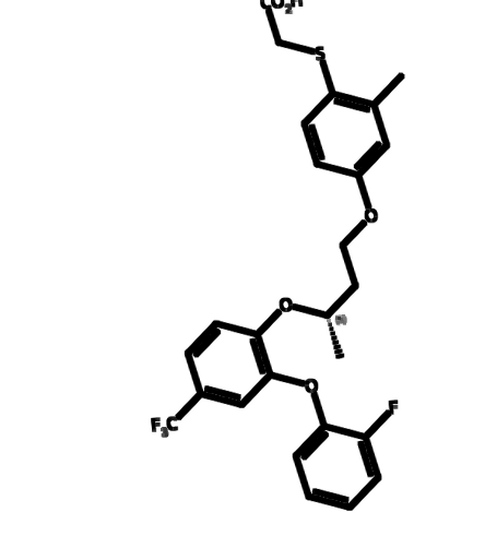 Cc1cc(OCC[C@H](C)Oc2ccc(C(F)(F)F)cc2Oc2ccccc2F)ccc1SCC(=O)O